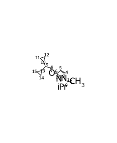 CC(C)[C@@H](C)n1ccc(OCC(C2CC2)C2CC2)n1